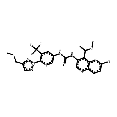 COCc1cnn(-c2ncc(NC(=O)Nc3cnc4ccc(Cl)nc4c3C(C)OC)cc2C(F)(F)F)n1